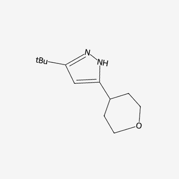 CC(C)(C)c1cc(C2CCOCC2)[nH]n1